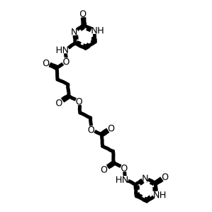 O=C(CCC(=O)ONc1cc[nH]c(=O)n1)OCCOC(=O)CCC(=O)ONc1cc[nH]c(=O)n1